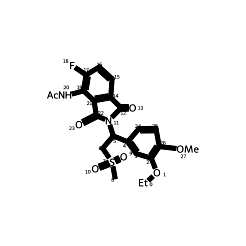 CCOc1cc(C(CS(C)(=O)=O)N2C(=O)c3ccc(F)c(NC(C)=O)c3C2=O)ccc1OC